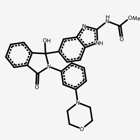 COC(=O)Nc1nc2cc(C3(O)c4ccccc4C(=O)N3c3cccc(N4CCOCC4)c3)ccc2[nH]1